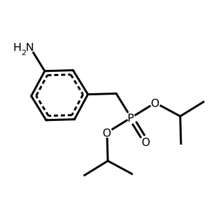 CC(C)OP(=O)(Cc1cccc(N)c1)OC(C)C